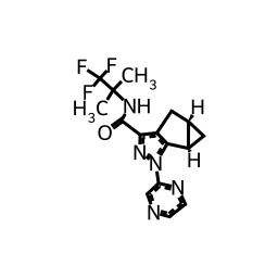 CC(C)(NC(=O)c1nn(-c2cnccn2)c2c1C[C@@H]1C[C@H]21)C(F)(F)F